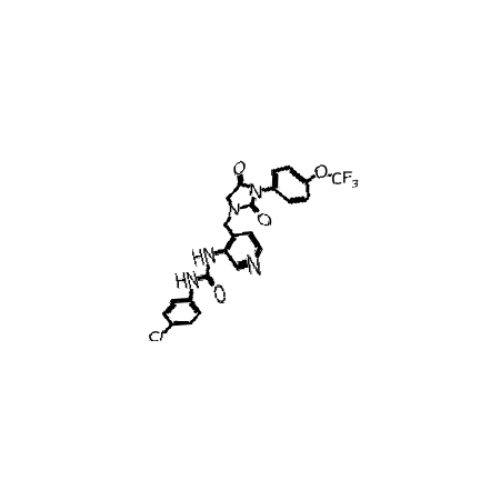 O=C(Nc1ccc(Cl)cc1)Nc1cnccc1CN1CC(=O)N(c2ccc(OC(F)(F)F)cc2)C1=O